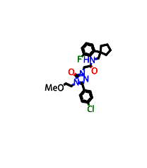 COCCn1c(-c2ccc(Cl)cc2)nn(CC(=O)NCC2(c3cccc(F)c3)CCCC2)c1=O